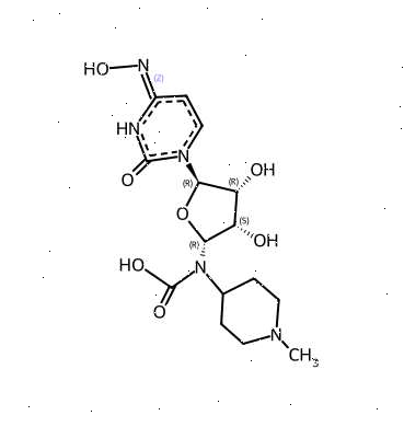 CN1CCC(N(C(=O)O)[C@@H]2O[C@@H](n3cc/c(=N/O)[nH]c3=O)[C@H](O)[C@@H]2O)CC1